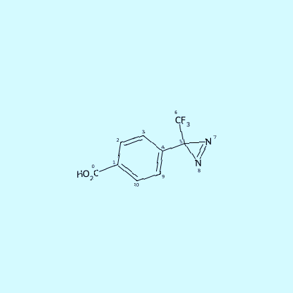 O=C(O)c1ccc(C2(C(F)(F)F)N=N2)cc1